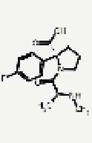 CN[C@@H](C)C(=O)N1CCC[C@]1(C(=O)O)c1ccc(F)cc1